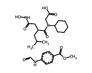 CC(C)CC(CC(=O)NO)C(=O)N(CC(=O)O)C1CCCCC1.COC(=O)c1ccc(NC=O)cc1